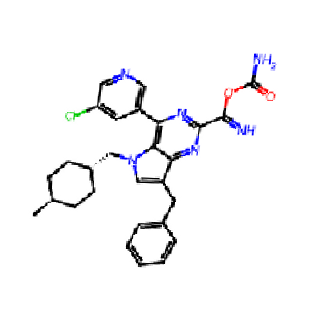 C[C@H]1CC[C@H](Cn2cc(Cc3ccccc3)c3nc(C(=N)OC(N)=O)nc(-c4cncc(Cl)c4)c32)CC1